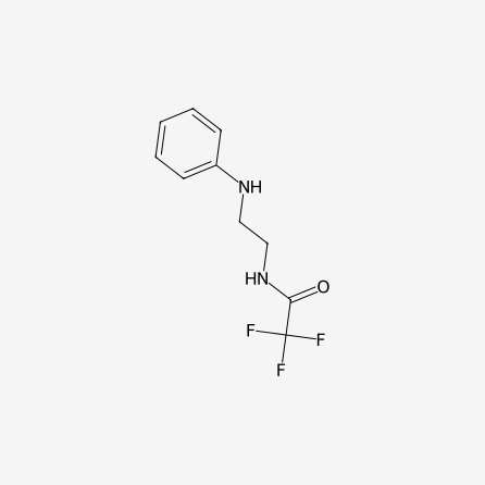 O=C(NCCNc1ccccc1)C(F)(F)F